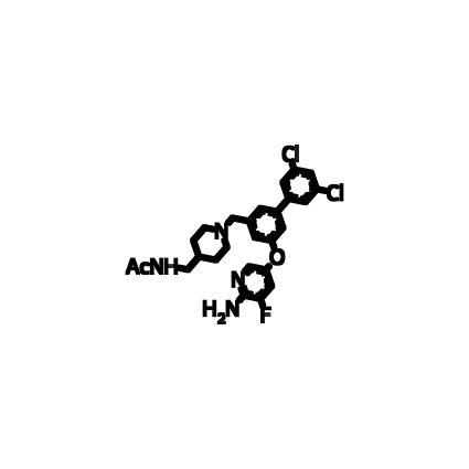 CC(=O)NCC1CCN(Cc2cc(Oc3cnc(N)c(F)c3)cc(-c3cc(Cl)cc(Cl)c3)c2)CC1